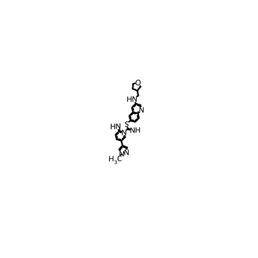 Cn1cc(-c2ccc(=N)n(C(=N)Sc3ccc4ncc(NCC5CCOC5)cc4c3)c2)cn1